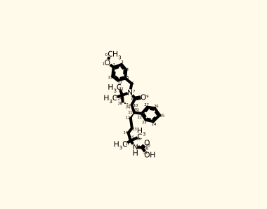 COc1ccc(CN2C(=O)[C@H]([C@H](CCCC(C)(C)NC(=O)O)c3ccccc3)CC2(C)C)cc1